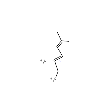 CC(C)=C/C=C(\N)CN